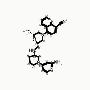 C[C@@H]1CN(c2ccc(C#N)c3ncccc23)C[C@@H](CN[C@@H]2CCCN(c3ccnc(N)c3)C2)O1